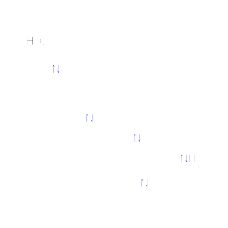 CN1CCN(c2ccnc(N)n2)CC1